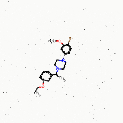 CCOc1cccc(C(C)N2CCN(c3ccc(Br)c(OC)c3)CC2)c1